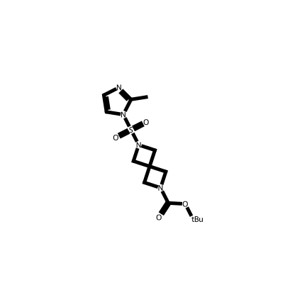 Cc1nccn1S(=O)(=O)N1CC2(CN(C(=O)OC(C)(C)C)C2)C1